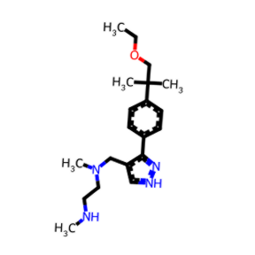 CCOCC(C)(C)c1ccc(-c2n[nH]cc2CN(C)CCNC)cc1